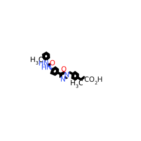 Cc1ccccc1NC(=O)Nc1ccc(-c2cncn(Cc3ccc(C(C)CC(=O)O)cc3)c2=O)cc1